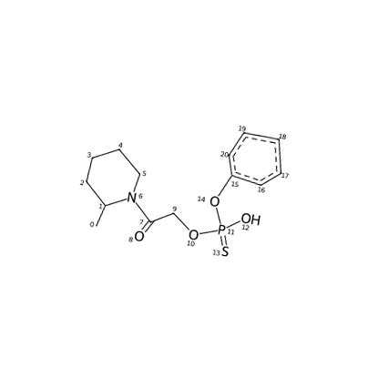 CC1CCCCN1C(=O)COP(O)(=S)Oc1ccccc1